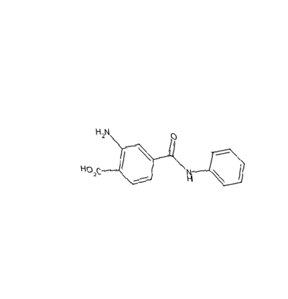 Nc1cc(C(=O)Nc2ccccc2)ccc1C(=O)O